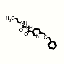 CCCNC(=O)NC(=O)c1ccc(COCc2ccccc2)nc1